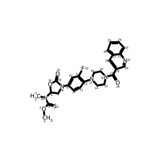 COC(=S)N(C)C1CN(c2ccc(N3CCN(C(=O)c4cnc5ccccc5c4)CC3)c(F)c2)C(=O)O1